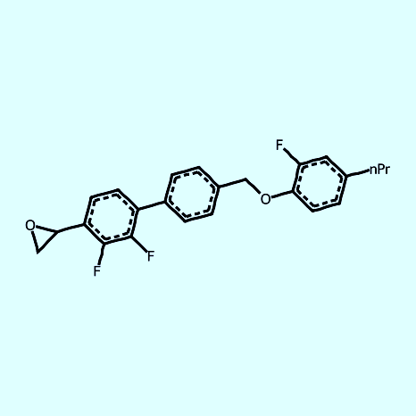 CCCc1ccc(OCc2ccc(-c3ccc(C4CO4)c(F)c3F)cc2)c(F)c1